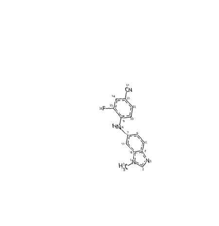 Cn1cnc2ccc(Nc3ccc(C#N)cc3F)cc21